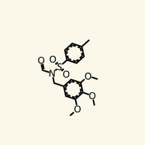 COc1cc(CN(C=O)S(=O)(=O)c2ccc(C)cc2)cc(OC)c1OC